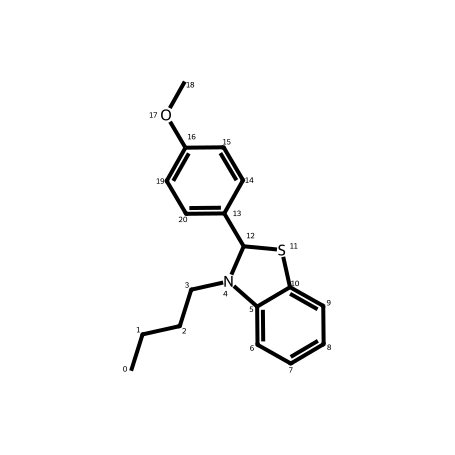 CCCCN1c2ccccc2SC1c1ccc(OC)cc1